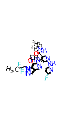 [2H]C([2H])([2H])NC(=O)c1cnc(Nc2ccc(F)cn2)cc1Nc1ncc2cnn(CC(C)(F)F)c2c1OC